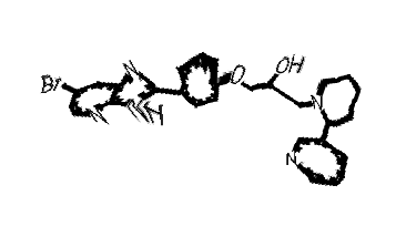 OC(COc1ccc(-c2nc3cc(Br)cnc3[nH]2)cc1)CN1CCCCC1c1cccnc1